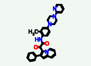 Cc1cc(N2CCN(c3ccccn3)CC2)ccc1NC(=O)C(=O)c1c(-c2ccccc2)cc2ccccn12